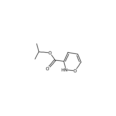 CC(C)OC(=O)C1=CC=CON1